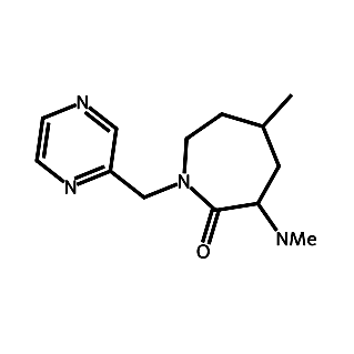 CNC1CC(C)CCN(Cc2cnccn2)C1=O